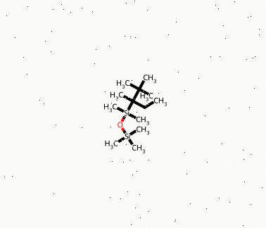 CCC(C)(C(C)(C)C)[Si](C)(C)O[Si](C)(C)C